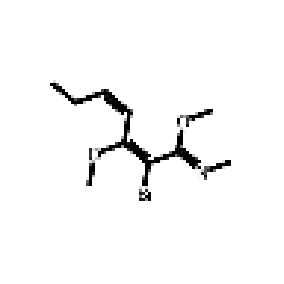 CC\C=C/C(OC)=C(Br)\C(=N\C)OC